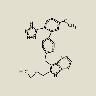 CCCCc1nc2cccnc2n1Cc1ccc(-c2cc(OC)ccc2-c2nnn[nH]2)cc1